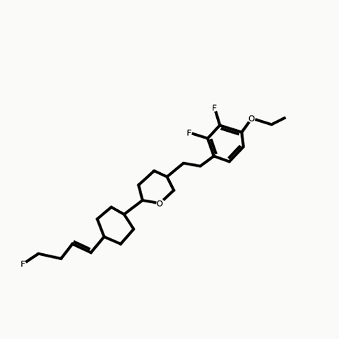 CCOc1ccc(CCC2CCC(C3CCC(/C=C/CCF)CC3)OC2)c(F)c1F